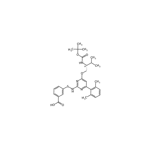 Cc1cccc(C)c1-c1cc(OC[C@H](NC(=O)OC(C)(C)C)C(C)C)nc(NSc2cccc(C(=O)O)c2)n1